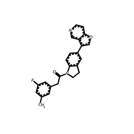 Cc1cc(F)cc(CC(=O)N2CCc3cc(-c4coc5ccncc45)ccc32)c1